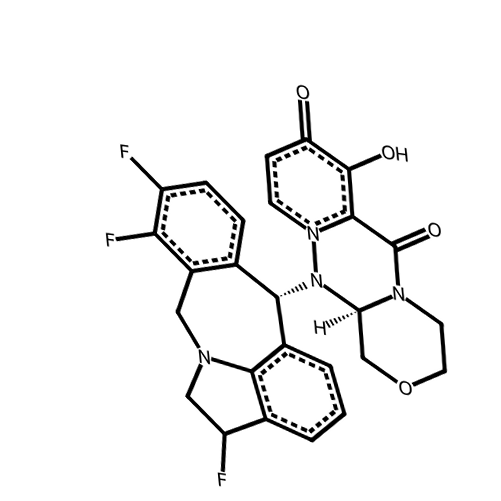 O=C1c2c(O)c(=O)ccn2N([C@H]2c3ccc(F)c(F)c3CN3CC(F)c4cccc2c43)[C@@H]2COCCN12